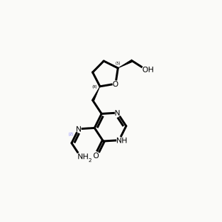 N/C=N\c1c(C[C@H]2CC[C@@H](CO)O2)nc[nH]c1=O